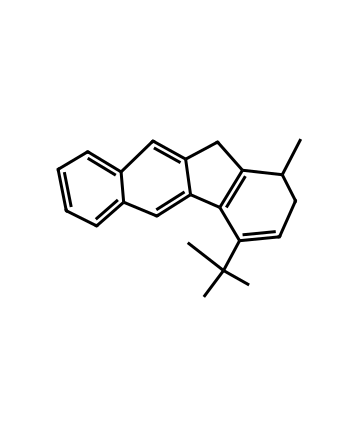 CC1CC=C(C(C)(C)C)C2=C1Cc1cc3ccccc3cc12